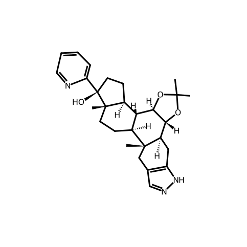 CC1(C)O[C@H]2[C@H](O1)[C@H]1Cc3[nH]ncc3C[C@]1(C)[C@H]1CC[C@@]3(C)[C@@H](CC[C@@]3(O)c3ccccn3)[C@H]21